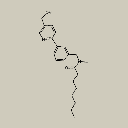 CCCCCCCC(=O)N(C)Cc1cccc(-c2ccc(CO)cn2)c1